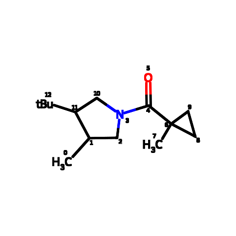 CC1CN(C(=O)C2(C)CC2)CC1C(C)(C)C